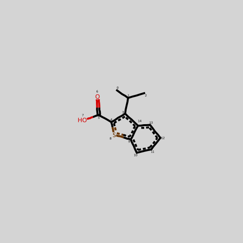 CC(C)c1c(C(=O)O)sc2ccccc12